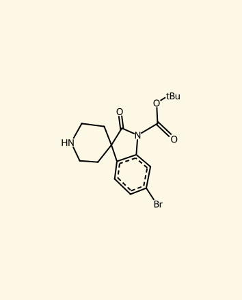 CC(C)(C)OC(=O)N1C(=O)C2(CCNCC2)c2ccc(Br)cc21